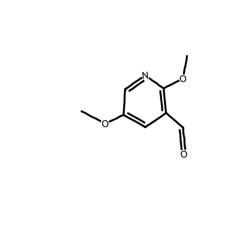 COc1cnc(OC)c(C=O)c1